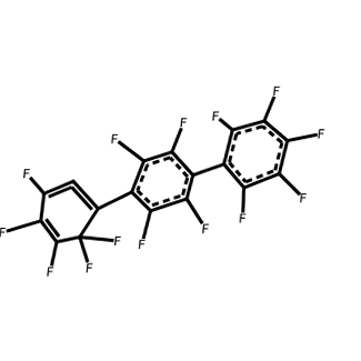 FC1=C=C(c2c(F)c(F)c(-c3c(F)c(F)c(F)c(F)c3F)c(F)c2F)C(F)(F)C(F)=C1F